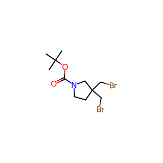 CC(C)(C)OC(=O)N1CCC(CBr)(CBr)C1